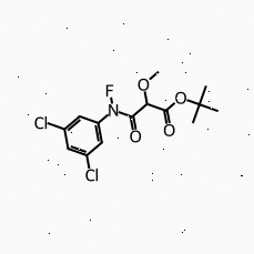 COC(C(=O)OC(C)(C)C)C(=O)N(F)c1cc(Cl)cc(Cl)c1